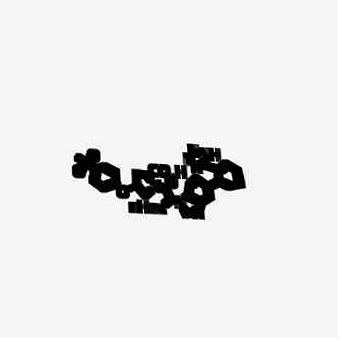 CCCCCCC(C(=O)N1C[C@@H](Oc2ccc(S(C)(=O)=O)cc2)C[C@H]1C(=O)O)n1cnc2cc(-c3ccccc3-c3nnn[nH]3)ccc21